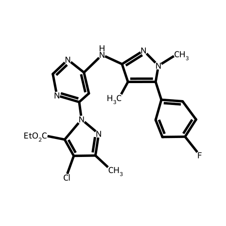 CCOC(=O)c1c(Cl)c(C)nn1-c1cc(Nc2nn(C)c(-c3ccc(F)cc3)c2C)ncn1